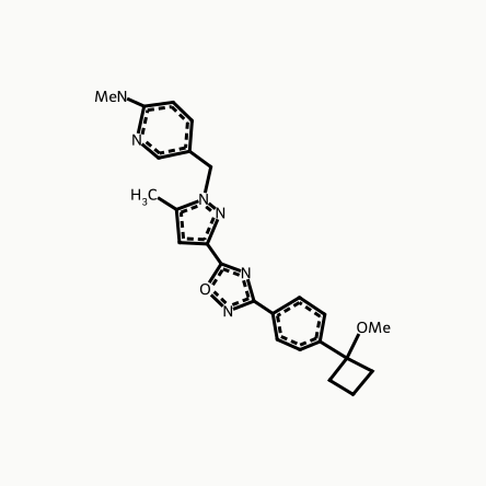 CNc1ccc(Cn2nc(-c3nc(-c4ccc(C5(OC)CCC5)cc4)no3)cc2C)cn1